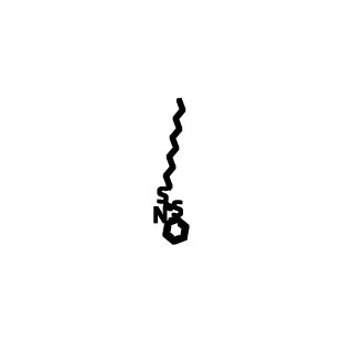 CCCCCCCCCCSc1nc2ccccc2s1